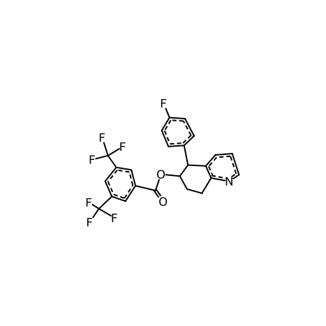 O=C(OC1CCc2ncccc2C1c1ccc(F)cc1)c1cc(C(F)(F)F)cc(C(F)(F)F)c1